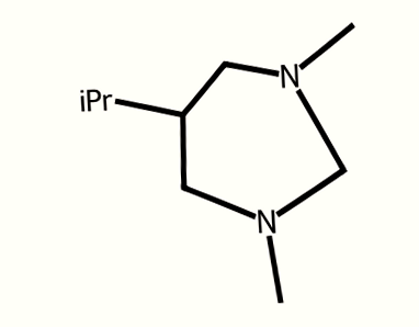 CC(C)C1CN(C)CN(C)C1